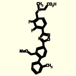 COCc1cc(-c2nc(-c3ccc(CN(C)CC(=O)O)c(F)c3F)no2)ccc1-c1ccccc1C